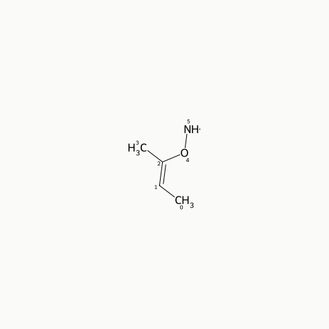 C/C=C(/C)O[NH]